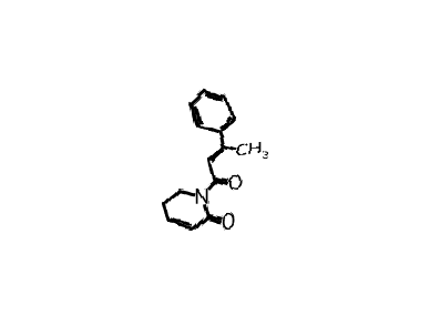 C/C(=C\C(=O)N1CCC=CC1=O)c1ccccc1